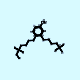 CCC(C)(C)CCCCc1ccc(O)cc1CCCCC(C)(C)C